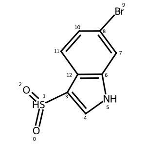 O=[SH](=O)c1c[nH]c2cc(Br)ccc12